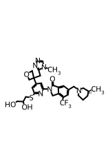 C[C@H]1CCCN(Cc2cc3c(c(C(F)(F)F)c2)CN(c2cc(C4(Cc5nncn5C)COC4)cc(SCC(O)CO)n2)C3=O)C1